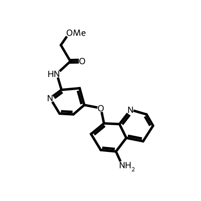 COCC(=O)Nc1cc(Oc2ccc(N)c3cccnc23)ccn1